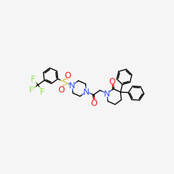 O=C(CN1CCCC(c2ccccc2)(c2ccccc2)C1=O)N1CCN(S(=O)(=O)c2cccc(C(F)(F)F)c2)CC1